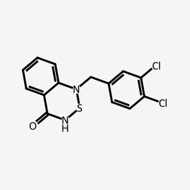 O=C1NSN(Cc2ccc(Cl)c(Cl)c2)c2ccccc21